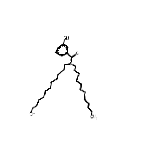 CCCCCCCCCCCCN(CCCCCCCCCCCC)C(=O)c1cccc(S)c1